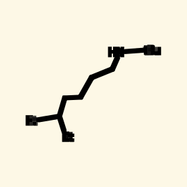 CCC(CC)CCCCNC(C)(C)C